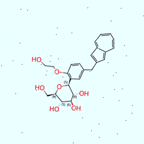 OCCOc1ccc(Cc2cc3cccccc-3c2)cc1[C@@H]1O[C@H](CO)[C@@H](O)[C@H](O)[C@H]1O